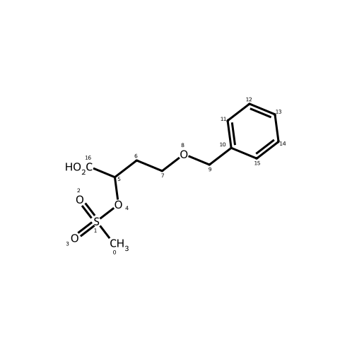 CS(=O)(=O)OC(CCOCc1ccccc1)C(=O)O